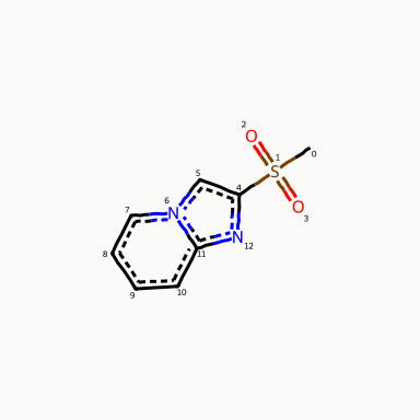 CS(=O)(=O)c1cn2ccccc2n1